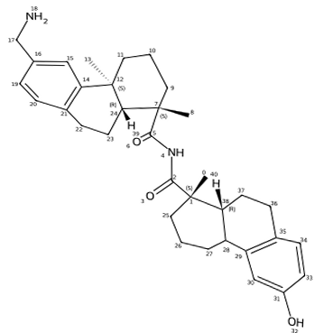 C[C@]1(C(=O)NC(=O)[C@@]2(C)CCC[C@]3(C)c4cc(CN)ccc4CC[C@@H]23)CCCC2c3cc(O)ccc3CC[C@H]21